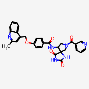 Cc1cc(COc2ccc(C(=O)NC3CN(C(=O)c4cccnc4)CC34NC(=O)NC4=O)cc2)c2ccccc2n1